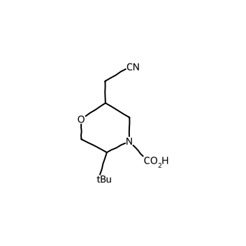 CC(C)(C)C1COC(CC#N)CN1C(=O)O